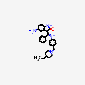 CCC1CCN(Cc2ccc(N/C(=C3\C(=O)Nc4ccc(N)cc43)c3ccccc3)cc2)CC1